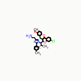 COc1cccc(Cc2c(C(C(C)C)n3cc(CCN)nc3-c3ccc(C)cc3)oc3cc(Cl)ccc3c2=O)c1